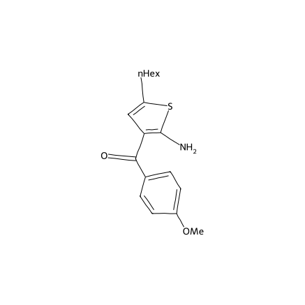 CCCCCCc1cc(C(=O)c2ccc(OC)cc2)c(N)s1